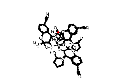 CC1(C)Oc2ccc(C#N)cc2C(N2CCCC2=O)C1OP(=O)(OC1C(N2CCCC2=O)c2cc(C#N)ccc2OC1(C)C)OC1C(N2CCCC2O)c2cc(C#N)ccc2OC1(C)C